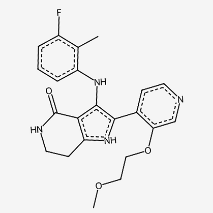 COCCOc1cnccc1-c1[nH]c2c(c1Nc1cccc(F)c1C)C(=O)NCC2